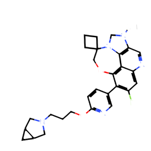 CN1CN2c3c1cnc1cc(F)c(-c4ccc(OCCCN5CC6CC6C5)nc4)c(c31)OCC21CCC1